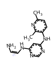 Cc1ccc(Nc2cc(N/C=C\N)ncn2)c(C)n1